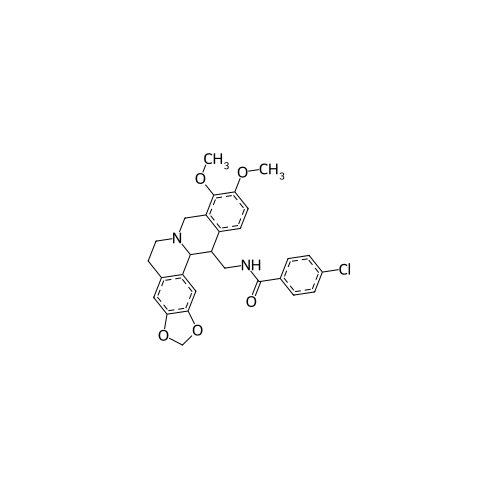 COc1ccc2c(c1OC)CN1CCc3cc4c(cc3C1C2CNC(=O)c1ccc(Cl)cc1)OCO4